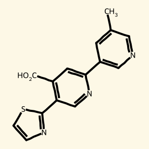 Cc1cncc(-c2cc(C(=O)O)c(-c3nccs3)cn2)c1